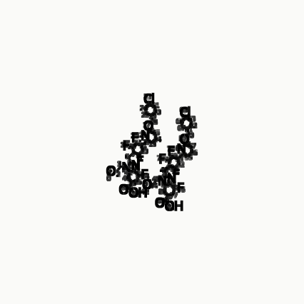 COCCn1c(Cc2c(F)cc(-c3cccc(OCc4ccc(Cl)cc4)n3)c(F)c2F)nc2c(F)cc(C(=O)O)cc21.COCCn1c(Cc2c(F)cc(-c3cccc(OCc4ccc(Cl)cc4)n3)c(F)c2F)nc2c(F)cc(C(=O)O)cc21